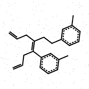 C=CCC(CCc1cccc(C)c1)=C(CC=C)c1cccc(C)c1